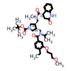 CCc1ccc(C(=O)N(C[C@@H]2CN(C(=O)OC(C)(C)C)C[C@H]2CN(C)C(=O)[C@H]2CC(=O)Nc3ccccc32)C(C)C)cc1OCCCOC